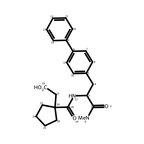 CNC(=O)C(Cc1ccc(-c2ccccc2)cc1)NC(=O)C1(CC(=O)O)CCCC1